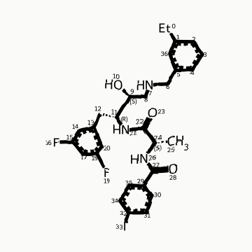 CCc1cccc(CNC[C@H](O)[C@@H](Cc2cc(F)cc(F)c2)NC(=O)[C@H](C)NC(=O)c2ccc(I)cc2)c1